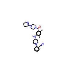 Cc1cc(C)c(N(C)C2CCN(c3ccccc3C#N)CC2)cc1C(=O)N1CCN(C2=NCCC=C2)CC1